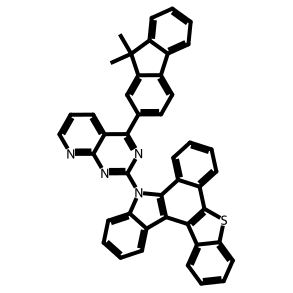 CC1(C)c2ccccc2-c2ccc(-c3nc(-n4c5ccccc5c5c6c7ccccc7sc6c6ccccc6c54)nc4ncccc34)cc21